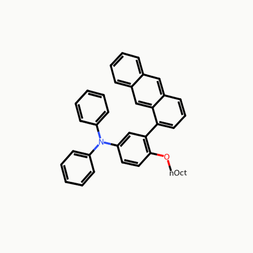 CCCCCCCCOc1ccc(N(c2ccccc2)c2ccccc2)cc1-c1cccc2cc3ccccc3cc12